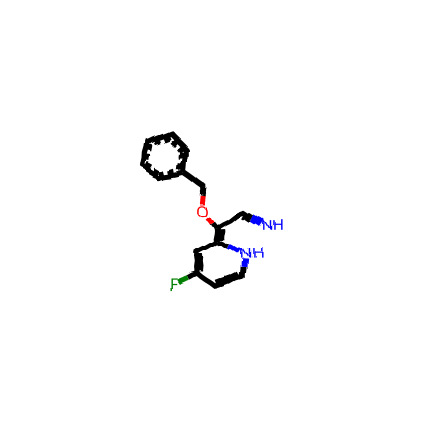 N=C/C(OCc1ccccc1)=C1/C=C(F)C=CN1